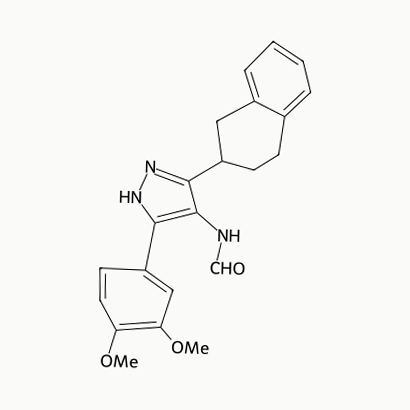 COc1ccc(-c2[nH]nc(C3CCc4ccccc4C3)c2NC=O)cc1OC